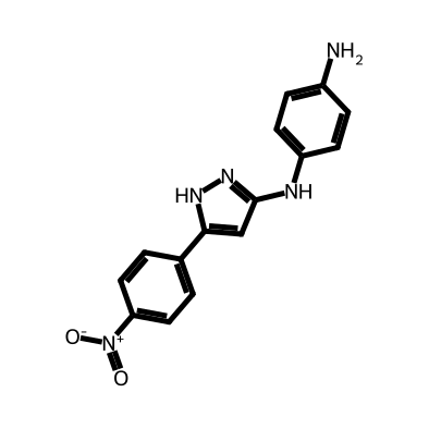 Nc1ccc(Nc2cc(-c3ccc([N+](=O)[O-])cc3)[nH]n2)cc1